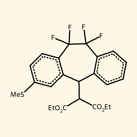 CCOC(=O)C(C(=O)OCC)C1c2ccccc2C(F)(F)C(F)(F)c2ccc(SC)cc21